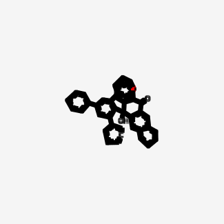 O=C1c2ccccc2C(O)(c2c(-c3ccccc3)cc(-c3ccccc3)cc2-c2ccccc2)c2cc3ccccc3cc21